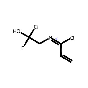 C=C/C(Cl)=N\CC(O)(F)Cl